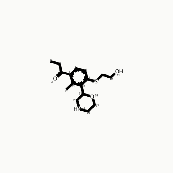 CCC(=O)c1ccc(SCCO)c(C2CNCCO2)c1C